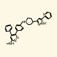 CNc1cc(-c2ccccc2)c(-c2ccc(CN3CCC(c4cc(-c5ccccn5)[nH]n4)CC3)cc2)nn1